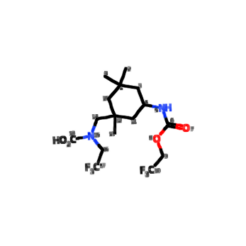 CC1(C)CC(NC(=O)OCC(F)(F)F)CC(C)(CN(CC(F)(F)F)C(=O)O)C1